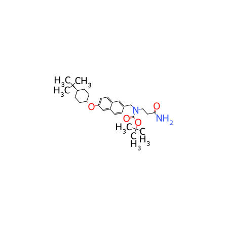 CC(C)(C)OC(=O)N(CCC(N)=O)Cc1ccc2cc(O[C@H]3CC[C@H](C(C)(C)C)CC3)ccc2c1